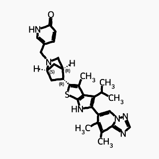 Cc1c(-c2[nH]c3sc([C@@H]4C[C@@H]5C[C@H]4CN5Cc4ccc(=O)[nH]c4)c(C)c3c2C(C)C)cn2ncnc2c1C